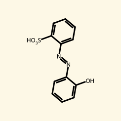 O=S(=O)(O)c1ccccc1N=Nc1ccccc1O